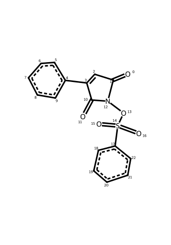 O=C1C=C(c2ccccc2)C(=O)N1OS(=O)(=O)c1ccccc1